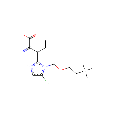 CCC(C(=N)C(=O)O)c1ncc(Br)n1COCC[Si](C)(C)C